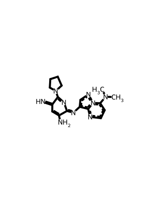 CN(C)c1ccnc2c(/N=C3\N=C(N4CCCC4)C(=N)C=C3N)cnn12